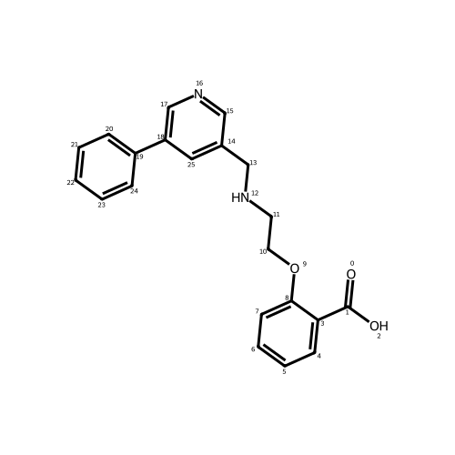 O=C(O)c1ccccc1OCCNCc1cncc(-c2ccccc2)c1